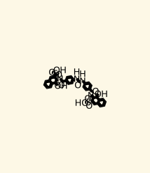 O=C(Nc1ccc(C(=O)N=C2C(S(=O)(=O)O)=Cc3ccccc3C2O)cc1)Nc1ccc(C(=O)N=C2C(S(=O)(=O)O)=Cc3ccccc3C2O)cc1